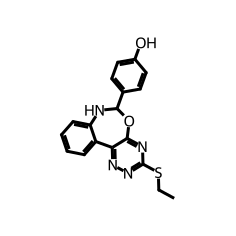 CCSc1nnc2c(n1)OC(c1ccc(O)cc1)Nc1ccccc1-2